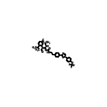 CCN/C(=N\C(=O)NCCc1ccc(-c2ncn(-c3ccc(OC(F)(F)F)cc3)n2)cc1)N(C=O)c1cc(C)ccc1C(C)C